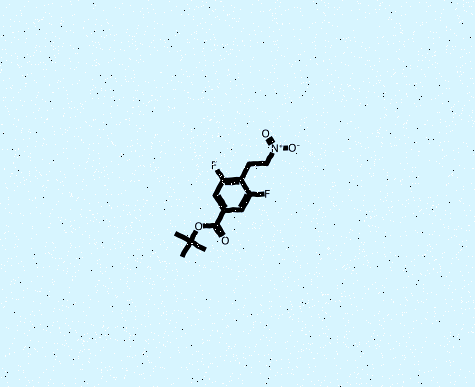 CC(C)(C)OC(=O)c1cc(F)c(CC[N+](=O)[O-])c(F)c1